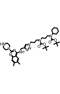 Cc1cc2nc(N3CCNCC3)nc(NCc3cn(CCCN(CCCN(C(=O)OC(C)(C)C)C4CCCCC4)C(=O)OC(C)(C)C)nn3)c2cc1C